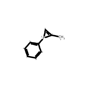 CC1=CP1c1ccccc1